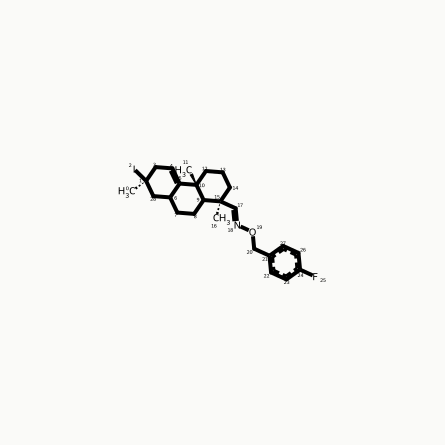 C[C@]1(I)CC=C2C(CCC3[C@@]2(C)CCC[C@@]3(C)/C=N/OCc2ccc(F)cc2)C1